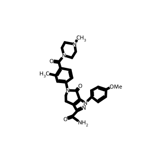 COc1ccc(-n2nc(C(N)=O)c3c2C(=O)N(c2ccc(C(=O)N4CCN(C)CC4)c(C)c2)CC3)cc1